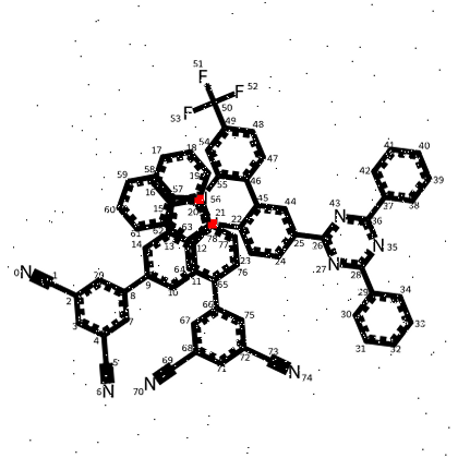 N#Cc1cc(C#N)cc(-c2ccc3c(c2)c2ccccc2n3-c2ccc(-c3nc(-c4ccccc4)nc(-c4ccccc4)n3)cc2-c2ccc(C(F)(F)F)cc2-n2c3ccccc3c3cc(-c4cc(C#N)cc(C#N)c4)ccc32)c1